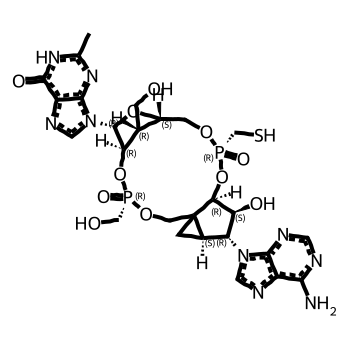 Cc1nc2c(ncn2[C@@H]2O[C@@H]3CO[P@](=O)(CS)O[C@H]4[C@@H](O)[C@H](n5cnc6c(N)ncnc65)[C@H]5CC54CO[P@](=O)(CO)O[C@@H]2[C@@H]3CO)c(=O)[nH]1